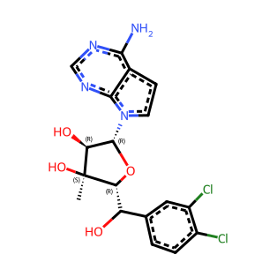 C[C@@]1(O)[C@@H](C(O)c2ccc(Cl)c(Cl)c2)O[C@@H](n2ccc3c(N)ncnc32)[C@@H]1O